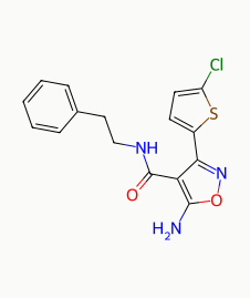 Nc1onc(-c2ccc(Cl)s2)c1C(=O)NCCc1ccccc1